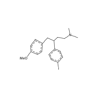 COc1ccc(CC(CCN(C)C)c2ccc(I)cc2)cc1